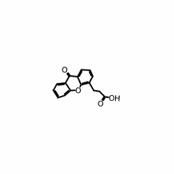 O=C(O)CCc1cccc2c(=O)c3ccccc3oc12